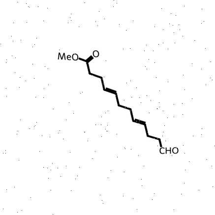 COC(=O)CCC=CCCC=CCCC=O